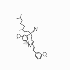 CN=NC(C=Cc1cccc(OC)c1)=CCCC(C#N)(CCC(C)CCCC(C)C)c1cccc(OC)c1